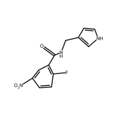 O=C(NCc1cc[nH]c1)c1cc([N+](=O)[O-])ccc1F